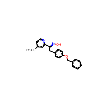 CCOC(=O)c1ccnc(/C(Cc2ccc(OCc3ccccc3)cc2)=N/O)c1